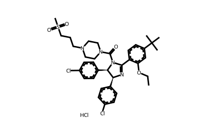 CCOc1cc(C(C)(C)C)ccc1C1=N[C@@H](c2ccc(Cl)cc2)[C@@H](c2ccc(Cl)cc2)N1C(=O)N1CCN(CCCS(C)(=O)=O)CC1.Cl